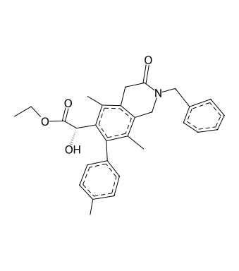 CCOC(=O)[C@@H](O)c1c(C)c2c(c(C)c1-c1ccc(C)cc1)CN(Cc1ccccc1)C(=O)C2